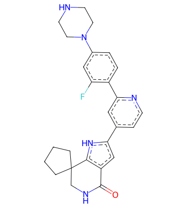 O=C1NCC2(CCCC2)c2[nH]c(-c3ccnc(-c4ccc(N5CCNCC5)cc4F)c3)cc21